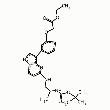 CCOC(=O)COc1cccc(-c2cnn3ccc(NCC(C)NC(=O)OC(C)(C)C)nc23)c1